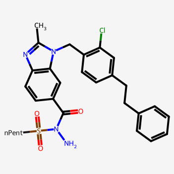 CCCCCS(=O)(=O)N(N)C(=O)c1ccc2nc(C)n(Cc3ccc(CCc4ccccc4)cc3Cl)c2c1